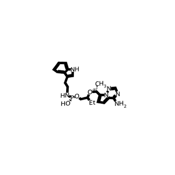 CCC(COP(O)NCCc1c[nH]c2ccccc12)O[C@H](C)c1ccc2c(N)ncnn12